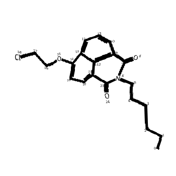 CCCCCCN1C(=O)c2cccc3c(OCCCl)ccc(c23)C1=O